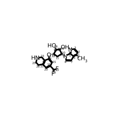 Cc1ccnc2c1ccn2[C@@H]1C[C@H](Oc2cc(C(F)F)cc3c2CNCC3)[C@@H](O)[C@H]1O